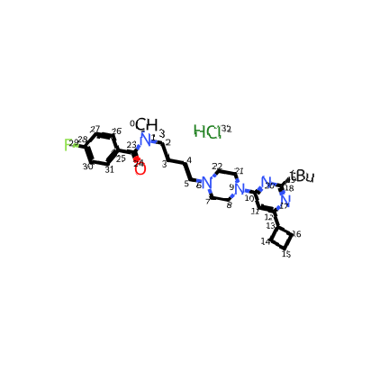 CN(CCCCN1CCN(c2cc(C3CCC3)nc(C(C)(C)C)n2)CC1)C(=O)c1ccc(F)cc1.Cl